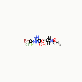 CC(=O)N1C[C@H]2CC(COc3cc4ncnc(Nc5ccc(Br)c(Cl)c5F)c4cc3O)C[C@H]2C1